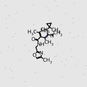 C=N/C(NC1(C)CC1)=C(\C)C(C(=O)NCc1nc(C)co1)=C(C)C